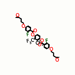 O=C(Oc1ccc(OC(=O)c2ccc(OCCCC3CO3)cc2F)c(C(F)(F)F)c1C(F)(F)F)c1ccc(OCCCC2CO2)cc1F